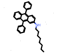 CCCCCCCCNc1ccc2c(-c3ccccc3)c3ccccc3c(-c3ccccc3)c2c1